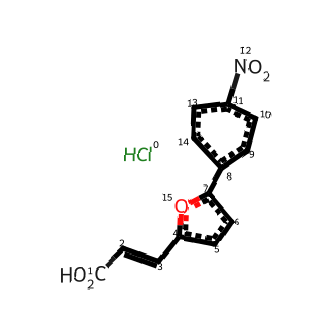 Cl.O=C(O)C=Cc1ccc(-c2ccc([N+](=O)[O-])cc2)o1